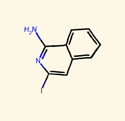 Nc1nc(I)cc2ccccc12